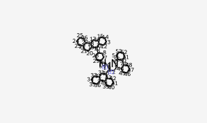 NC(/C=C(\N=C\c1ccc(-c2c3ccccc3cc3c2ccc2ccccc23)cc1)c1cc2ccccc2c2ccccc12)c1ccccc1-c1ccccc1